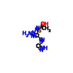 C[C@@H](CO)c1nnc(-c2cc(-c3cnn(Cc4cccc5cn[nH]c45)c3)cn3nc(N)nc23)s1